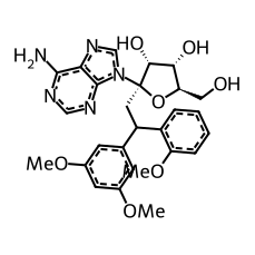 COc1cc(OC)cc(C(C[C@@]2(n3cnc4c(N)ncnc43)O[C@H](CO)[C@@H](O)[C@H]2O)c2ccccc2OC)c1